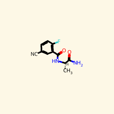 C[C@H](NC(=O)c1cc(C#N)ccc1F)C(N)=O